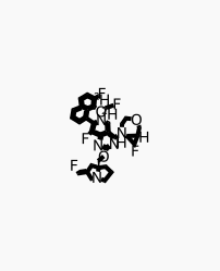 [2H]C([2H])(F)Oc1c(F)ccc2cccc(-c3ncc4c(N5CCOC[C@H]6[C@H](F)[C@H]65)nc(OC[C@@]56CCCN5C/C(=C/F)C6)nc4c3F)c12